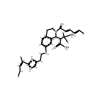 CC=CC=CC(=O)N1CCc2ccc(OCCc3coc(/C(C)=C\CC)n3)cc2C1C(C(=O)O)C(C)(C)N